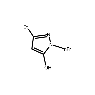 CCCn1nc(CC)cc1O